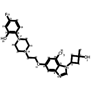 CC1(O)CC(n2cnc3cc(OCCN4CCN(c5ccc(F)cc5O)CC4)cc(C(F)(F)F)c32)C1